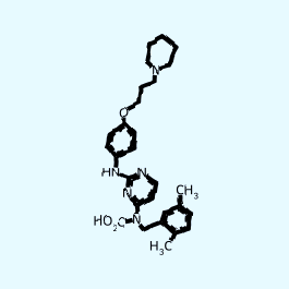 Cc1ccc(C)c(CN(C(=O)O)c2ccnc(Nc3ccc(OCCCN4CCCCC4)cc3)n2)c1